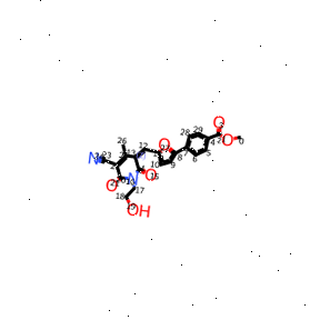 COC(=O)c1ccc(-c2ccc(/C=C3\C(=O)N(CCO)C(=O)C(C#N)=C3C)o2)cc1